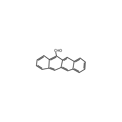 O=Cc1c2ccccc2cc2cc3ccccc3cc12